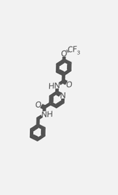 O=C(NCc1ccccc1)c1ccnc(NC(=O)c2ccc(OC(F)(F)F)cc2)c1